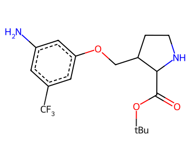 CC(C)(C)OC(=O)C1NCCC1COc1cc(N)cc(C(F)(F)F)c1